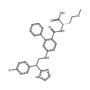 CSCC[C@H](NC(=O)c1ccc(NCC(c2ccc(F)cc2)c2ncc[nH]2)cc1-c1ccccc1)C(=O)O